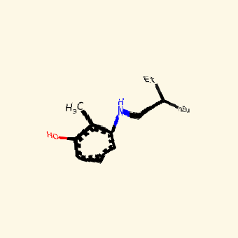 CCCCC(CC)CNc1cccc(O)c1C